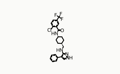 O=C(N[C@H]1CC[C@H](CNc2n[nH]cc2-c2ccccc2)CC1)c1cc(C(F)(F)F)ccc1Cl